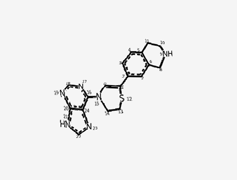 C1=C(c2ccc3c(c2)CNCC3)SCCN1c1ncnc2[nH]cnc12